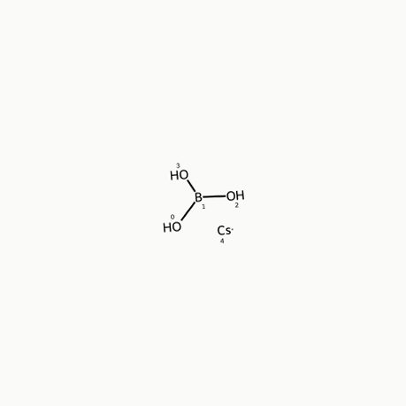 OB(O)O.[Cs]